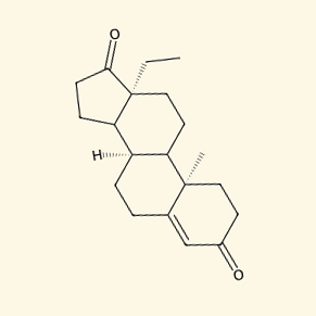 CC[C@]12CCC3[C@@H](CCC4=CC(=O)CC[C@@]43C)C1CCC2=O